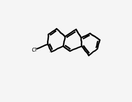 Clc1[c]c2cc3ccccc3cc2cc1